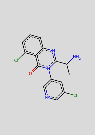 CC(N)c1nc2cccc(Cl)c2c(=O)n1-c1cncc(Cl)c1